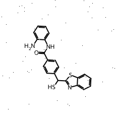 Nc1ccccc1NC(=O)c1ccc(C(S)c2nc3ccccc3s2)cc1